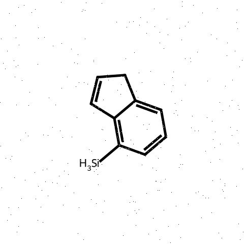 [SiH3]c1cccc2c1C=CC2